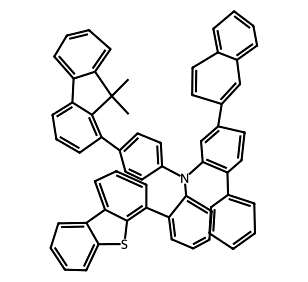 CC1(C)c2ccccc2-c2cccc(-c3ccc(N(c4cc(-c5ccc6ccccc6c5)ccc4-c4ccccc4)c4ccccc4-c4cccc5c4sc4ccccc45)cc3)c21